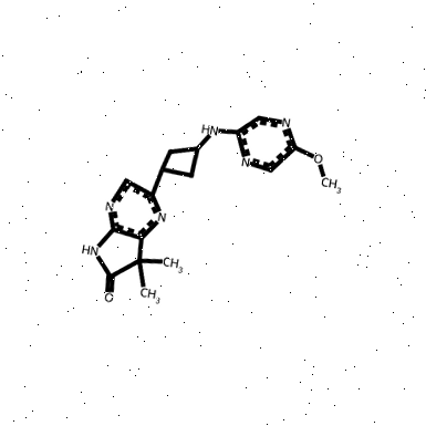 COc1cnc(NC2CC(c3cnc4c(n3)C(C)(C)C(=O)N4)C2)cn1